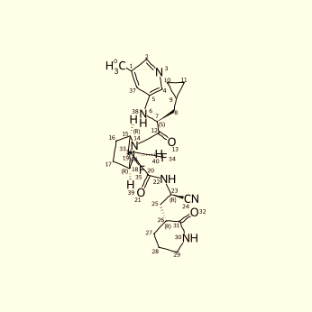 Cc1cncc(N[C@@H](CC2CC2)C(=O)N2[C@@H]3CC[C@H]([C@@H]2C(=O)N[C@@H](C#N)C[C@H]2CCCNC2=O)C(F)(F)C3)c1